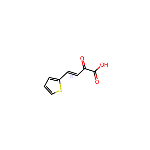 O=C(O)C(=O)/C=C/c1cccs1